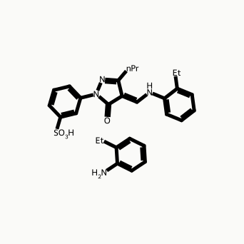 CCCC1=NN(c2cccc(S(=O)(=O)O)c2)C(=O)/C1=C/Nc1ccccc1CC.CCc1ccccc1N